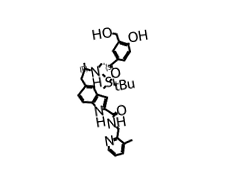 Cc1cccnc1CNC(=O)c1cc2cc(C[C@@H](C)NC[C@@H](O[Si](C)(C)C(C)(C)C)c3ccc(O)c(CO)c3)ccc2[nH]1